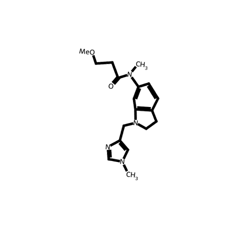 COCCC(=O)N(C)c1ccc2c(c1)N(Cc1cn(C)cn1)CC2